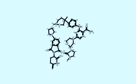 C=C1CCC(N2C(=O)c3ccc(N4CC[C@H](CN5CCC(C)(c6ccc(Nc7nc(N8CCC[C@@H](N9CCN(C)C9=O)C8)cnc7C(N)=O)cc6)CC5)C4)cc3C2=O)C(=O)N1